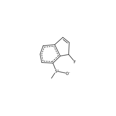 C[S+]([O-])c1cccc2c1C(F)C=C2